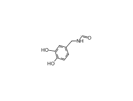 O=[C]NCc1ccc(O)c(O)c1